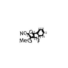 COc1c(C#N)oc2c1N(C)C1CC=CC=C21